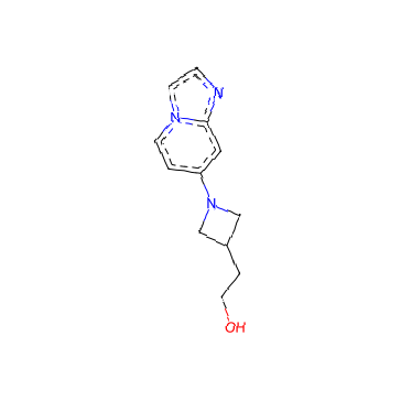 OCCC1CN(c2ccn3ccnc3c2)C1